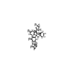 CC(F)(F)CNC(=O)NC(Cc1ccccc1)(c1ccc(F)cc1)c1cc(F)cc(OC(F)(F)C(F)F)c1